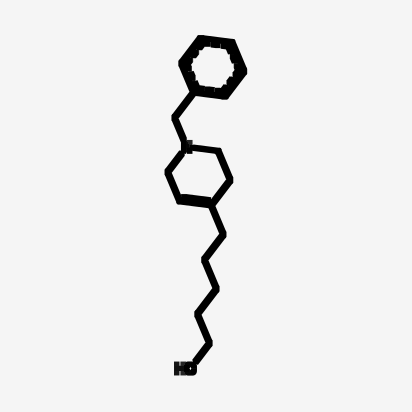 OCCCCCC1=CCN(Cc2ccccc2)CC1